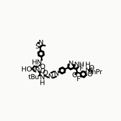 CCCS(=O)(=O)Nc1ccc(F)c(C(=O)c2c[nH]c3ncc(-c4ccc(N5CCN(CC(=O)NC(C(=O)N6C[C@H](O)C[C@H]6C(=O)NCc6ccc(-c7scnc7C)cc6)C(C)(C)C)CC5)cc4)cc23)c1F